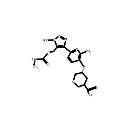 CNC(=O)OCc1c(-c2ccc(O[C@H]3COCC(C(=O)O)C3)c(C)n2)nnn1C